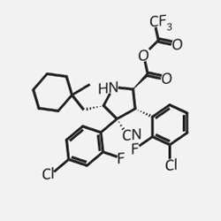 CC1(C[C@@H]2N[C@@H](C(=O)OC(=O)C(F)(F)F)[C@H](c3cccc(Cl)c3F)[C@@]2(C#N)c2ccc(Cl)cc2F)CCCCC1